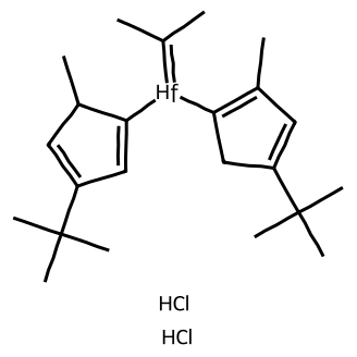 CC1=[C]([Hf]([C]2=CC(C(C)(C)C)=CC2C)=[C](C)C)CC(C(C)(C)C)=C1.Cl.Cl